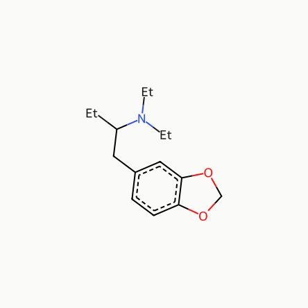 CCC(Cc1ccc2c(c1)OCO2)N(CC)CC